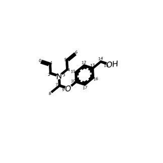 C=CCN(CC=C)C(C)Oc1ccc(CO)cc1